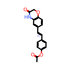 CC(=O)Oc1ccc(/C=C/c2ccc3c(c2)NC(=O)CO3)cc1